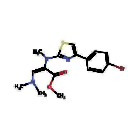 COC(=O)/C(=C\N(C)C)N(C)c1nc(-c2ccc(Br)cc2)cs1